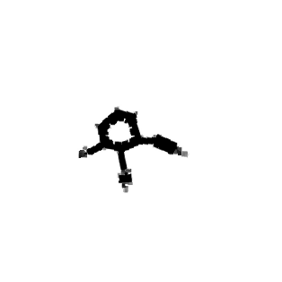 [C-]#[N+]c1c(Br)cccc1C#N